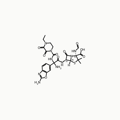 CCN1CCN(C(=O)NC(N)(C(=O)N[C@H]2C(=O)N3[C@@H]2SC(C)(C)[C@]3(NC=O)C(=O)O)c2ccc3nc(N)oc3c2)C(=O)C1=O